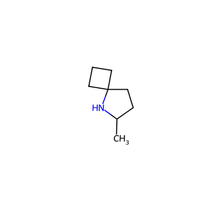 CC1CCC2(CCC2)N1